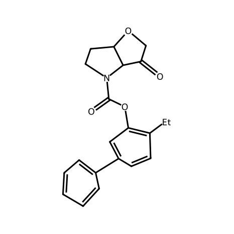 CCc1ccc(-c2ccccc2)cc1OC(=O)N1CCC2OCC(=O)C21